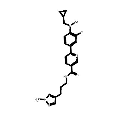 CC(=O)N(CC1CC1)c1ccc(-c2ccc(C(=O)NCCCc3cnn(C)c3)cn2)cc1Cl